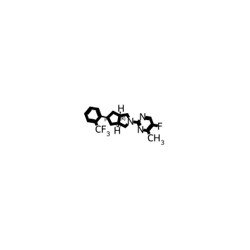 Cc1nc(N2C[C@H]3C[C@@H](c4ccccc4C(F)(F)F)C[C@H]3C2)ncc1F